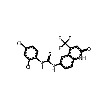 O=c1cc(C(F)(F)F)c2cc(NC(=S)Nc3ccc(Cl)cc3Cl)ccc2[nH]1